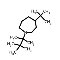 CC(C)(C)C1CCCN(C(C)(C)C(C)(C)C)CC1